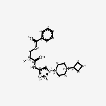 C[C@H](CSC(=O)c1ccccc1)C(=O)[N-]c1c[n+](N2CCN(C3CCC3)CC2)no1